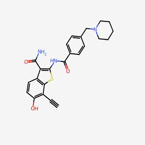 C#Cc1c(O)ccc2c(C(N)=O)c(NC(=O)c3ccc(CN4CCCCC4)cc3)sc12